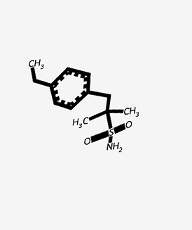 CCc1ccc(CC(C)(C)S(N)(=O)=O)cc1